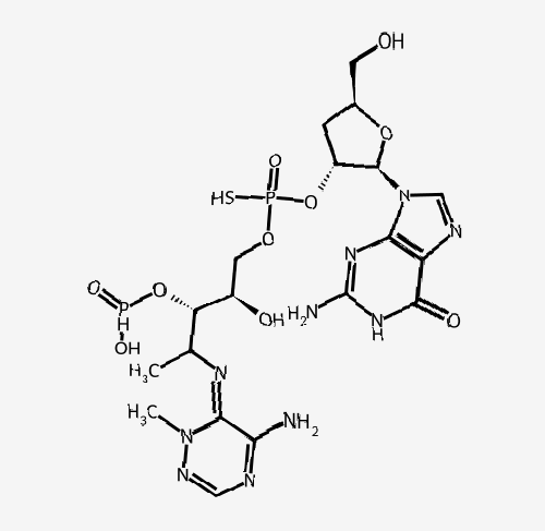 CC(/N=c1/c(N)ncnn1C)[C@H](O[PH](=O)O)[C@H](O)COP(=O)(S)O[C@@H]1C[C@@H](CO)O[C@H]1n1cnc2c(=O)[nH]c(N)nc21